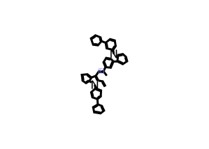 C=Cc1c(/C=C(\C)c2ccc3c(c2)c2ccccc2n3-c2cccc(-c3ccccc3)c2)c2ccccc2n1-c1ccc(-c2ccccc2)cc1